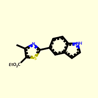 CCOC(=O)c1sc(-c2ccc3[nH]ccc3c2)nc1C